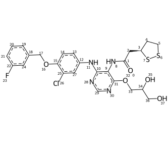 O=C(C[C@H]1CCSS1)Nc1c(Nc2ccc(OCc3cccc(F)c3)c(Cl)c2)ncnc1OCC(O)CO